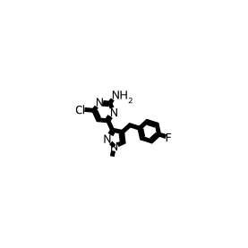 Cn1cc(Cc2ccc(F)cc2)c(-c2cc(Cl)nc(N)n2)n1